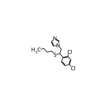 CCCCSC(Cn1ccnc1)c1ccc(Cl)cc1Cl